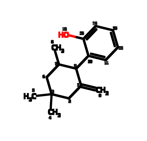 C=C1CC(C)(C)CC(C)C1c1ccccc1O